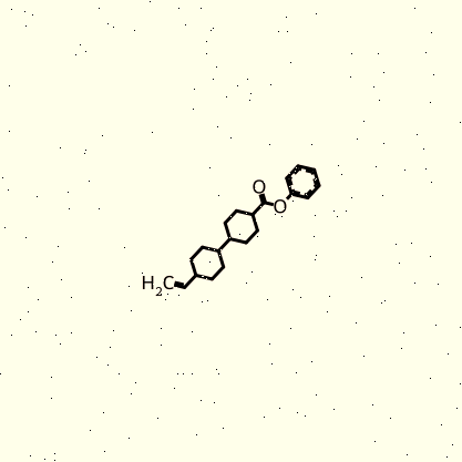 C=CC1CCC(C2CCC(C(=O)Oc3ccccc3)CC2)CC1